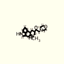 CN1CC(C(=O)CN2CCOCC2)CC2c3cccc4[nH]cc(c34)C[C@H]21